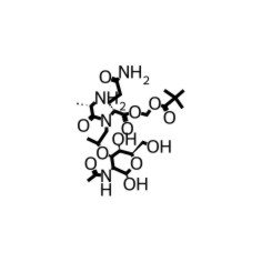 CC(=O)N[C@@H]1[C@@H](OC(C)CN(C(=O)[C@H](C)N)[C@H](CCC(N)=O)C(=O)OCOC(=O)C(C)(C)C)[C@H](O)[C@@H](CO)O[C@@H]1O